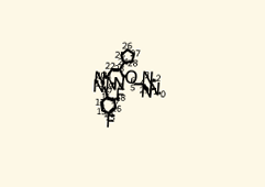 Cn1cnc(COc2nn3c(-c4ccc(F)cc4F)nnc3cc2C2CCCC2)n1